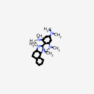 CN(C)c1cc(N(C)C)c(C2N(C)c3ccc4ccccc4c3N2C)c(N(C)C)c1